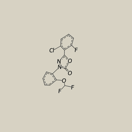 O=c1oc(-c2c(F)cccc2Cl)nn1-c1ccccc1OC(F)F